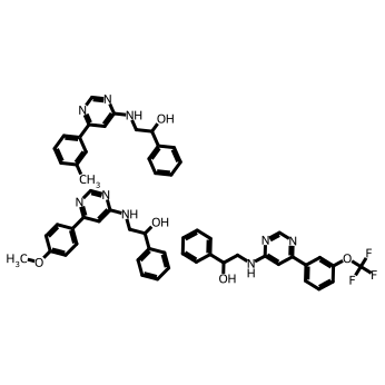 COc1ccc(-c2cc(NCC(O)c3ccccc3)ncn2)cc1.Cc1cccc(-c2cc(NCC(O)c3ccccc3)ncn2)c1.OC(CNc1cc(-c2cccc(OC(F)(F)F)c2)ncn1)c1ccccc1